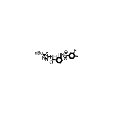 CCCCc1nnc(NC(=O)c2cccc(NS(=O)(=O)c3ccc(C)c(F)c3)c2)s1